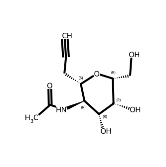 C#CC[C@@H]1O[C@H](CO)[C@H](O)[C@H](O)[C@H]1NC(C)=O